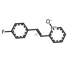 [O-][n+]1ccccc1/C=C/c1ccc(F)cc1